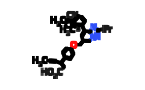 CC#CC(CC(=O)O)c1ccc(OCc2cc(-c3cccc(C(C)(C)C#N)c3C)c3nc(C(C)C)nn3c2)cc1